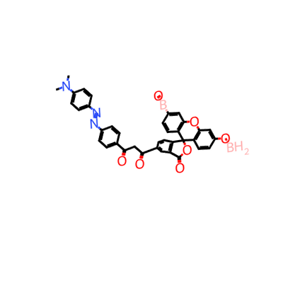 BOc1ccc2c(c1)Oc1cc(B=O)ccc1C21OC(=O)c2cc(C(=O)CC(=O)c3ccc(N=Nc4ccc(N(C)C)cc4)cc3)ccc21